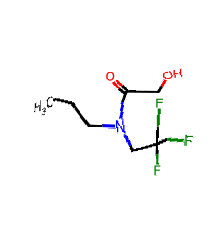 CCCN(CC(F)(F)F)C(=O)CO